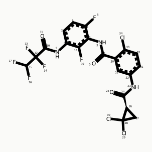 O=C(Nc1c(F)ccc(NC(=O)C(F)(F)C(F)F)c1F)c1cc(NC(=O)[C@H]2CC2(Cl)Cl)ccc1Cl